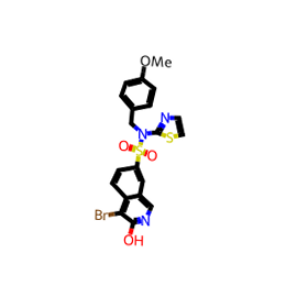 COc1ccc(CN(c2nccs2)S(=O)(=O)c2ccc3c(Br)c(O)ncc3c2)cc1